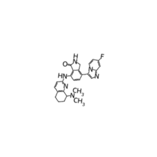 CN(C)C1CCCc2ccc(Nc3ccc(-c4cnc5cc(F)ccn45)c4c3C(=O)NC4)nc21